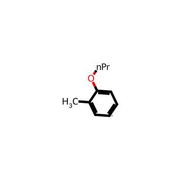 CCCOc1cc[c]cc1C